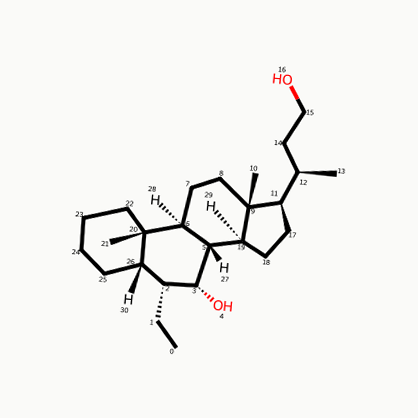 CC[C@H]1[C@@H](O)[C@@H]2[C@H](CC[C@]3(C)[C@@H]([C@H](C)CCO)CC[C@@H]23)[C@@]2(C)CCCC[C@@H]12